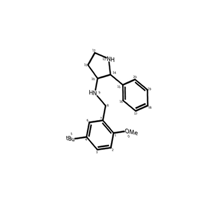 COc1ccc(C(C)(C)C)cc1CNC1CCNC1c1ccccc1